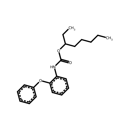 CCCCCC(CC)OC(=O)Nc1ccccc1Oc1ccccc1